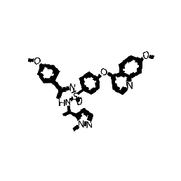 COc1ccc(C(C)N=S(=O)(NC(C)c2ccnn2C)c2ccc(Oc3ccnc4cc(OC)ccc34)cc2)cc1